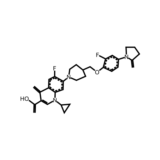 C=C(O)C1=CN(C2CC2)c2cc(N3CCC(COc4ccc(N5CCCC5=C)cc4F)CC3)c(F)cc2C1=C